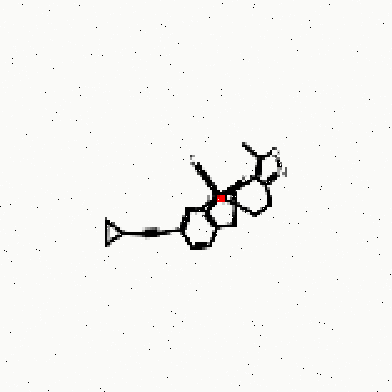 Cc1onc2c1CC1(CC2)Cc2ccc(C#CC3CC3)cc2C12NC(=S)NC2=O